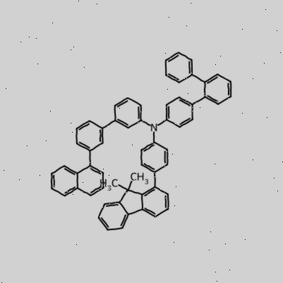 CC1(C)c2ccccc2-c2cccc(-c3ccc(N(c4ccc(-c5ccccc5-c5ccccc5)cc4)c4cccc(-c5cccc(-c6cccc7ccccc67)c5)c4)cc3)c21